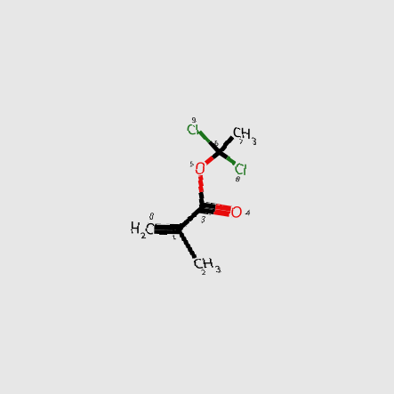 C=C(C)C(=O)OC(C)(Cl)Cl